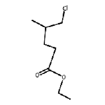 CCOC(=O)CCC(C)CCl